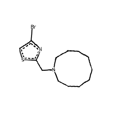 Brc1csc(CN2CCCCCCCCC2)n1